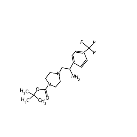 CC(C)(C)OC(=O)N1CCN(CC(N)c2ccc(C(F)(F)F)cc2)CC1